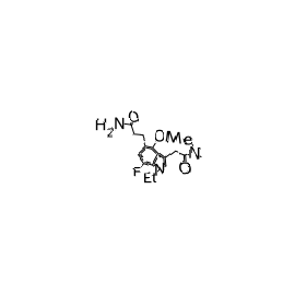 CCn1cc(CC(=O)N(C)C)c2c(OC)c(CCC(N)=O)cc(F)c21